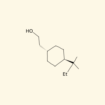 CCC(C)(C)[C@H]1CC[C@H](CCO)CC1